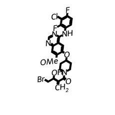 C=C(C(=O)N1CCC(Oc2cc3c(Nc4ccc(F)c(Cl)c4F)ncnc3cc2OC)CC1)C(O)CBr